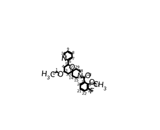 CCOC1CC(c2ccccn2)OC2(CCN(C(=O)c3cccc(F)c3OC)CC2)C1